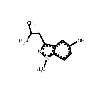 CC(N)Cc1nn(C)c2ccc(O)cc12